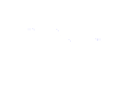 CC(N)c1ccc2cc(C(=O)Nc3ccc(N)cc3)n(Cc3cccc4ccccc34)c2c1